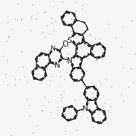 Clc1nc2ccc3ccccc3c2nc1-n1c2ccc(-c3ccc4c5ccccc5n(-c5ccccc5)c4c3)cc2c2c3ccccc3c3c4c(sc3c21)-c1ccccc1CC4